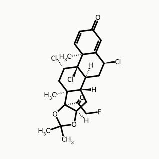 CC1(C)O[C@@H]2C[C@H]3[C@@H]4C[C@H](Cl)C5=CC(=O)C=C[C@]5(C)[C@@]4(Cl)[C@@H](Cl)C[C@]3(C)[C@]2(C(=O)CF)O1